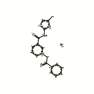 Cc1csc(NC(=O)c2ccc[n+](CC(=O)c3ccccc3)c2)n1.[Br-]